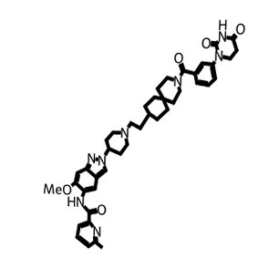 COc1cc2nn(C3CCN(CCC4CCC5(CC4)CCN(C(=O)c4cccc(N6CCC(=O)NC6=O)c4)CC5)CC3)cc2cc1NC(=O)c1cccc(C)n1